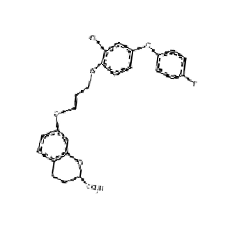 O=C(O)C1CCc2ccc(OCCCOc3ccc(Oc4ccc(F)cc4)cc3Cl)cc2O1